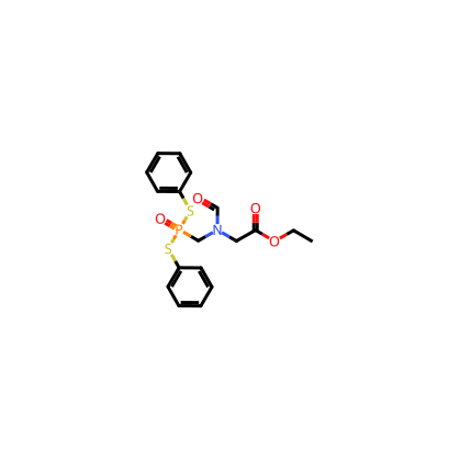 CCOC(=O)CN(C=O)CP(=O)(Sc1ccccc1)Sc1ccccc1